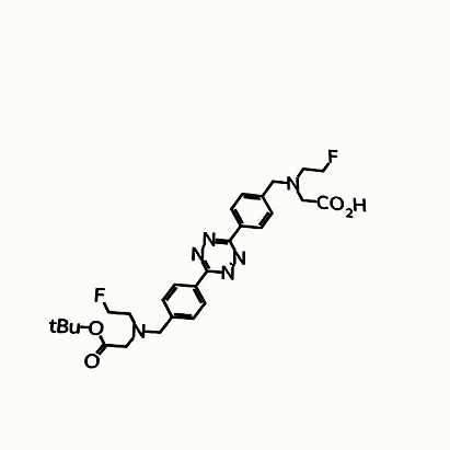 CC(C)(C)OC(=O)CN(CCF)Cc1ccc(-c2nnc(-c3ccc(CN(CCF)CC(=O)O)cc3)nn2)cc1